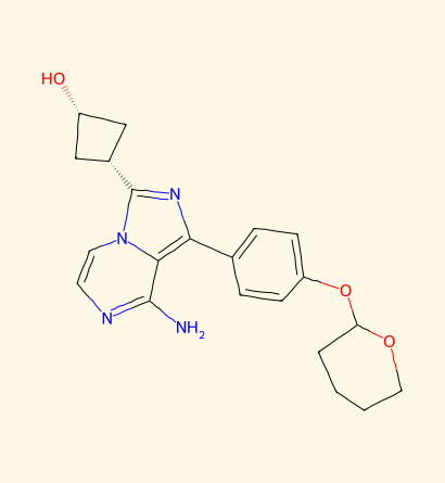 Nc1nccn2c1c(-c1ccc(OC3CCCCO3)cc1)nc2[C@H]1C[C@@H](O)C1